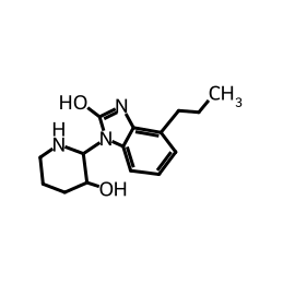 CCCc1cccc2c1nc(O)n2C1NCCCC1O